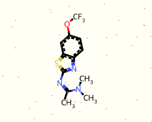 C/C(=N/c1nc2ccc(OC(F)(F)F)cc2s1)N(C)C